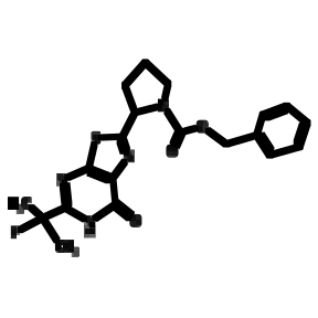 CC(C)(F)c1nc2sc(C3CCCN3C(=O)OCc3ccccc3)nc2c(=O)[nH]1